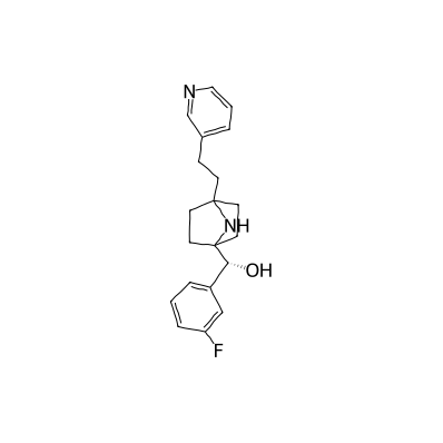 O[C@H](c1cccc(F)c1)C12CCC(CCc3cccnc3)(CC1)N2